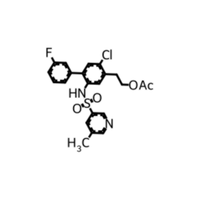 CC(=O)OCCc1cc(NS(=O)(=O)c2cncc(C)c2)c(-c2cccc(F)c2)cc1Cl